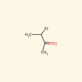 [CH2]C(=O)C(C)[CH]C